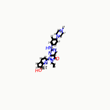 C=CCn1c(=O)c2cnc(Nc3ccc(N4CCN(C)CC4)c(C)c3)nc2n1-c1ccc2c(n1)[C@](O)(CC)CC2